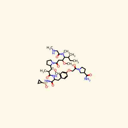 CCC(C)C(C(CC(=O)N1CCCC1[C@H](OC)C(C)C(=O)NC(Cc1ccc(OCC(=O)N2CCC(C(N)=O)C2)cc1)C(=O)N[S+]([O-])C1CC1)OC)N(C)C(=O)CNC